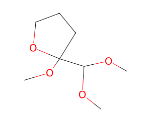 COC(OC)C1(OC)CCCO1